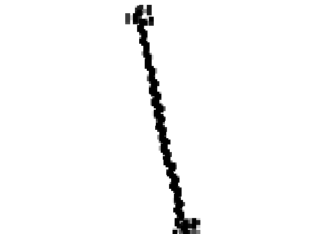 O=C(CCCCCCCCCCCCCCCCCCCCCCCCCCCCCCCCOP(=O)(O)O)NO